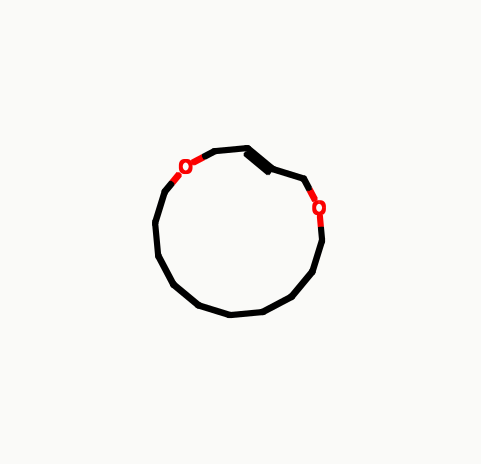 C1=C/COCCCCCCCCCCOC/1